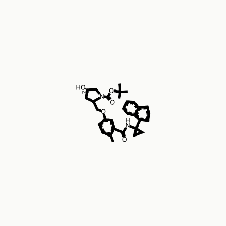 Cc1ccc(OCC2C[C@H](O)CN2C(=O)OC(C)(C)C)cc1C(=O)NC1(c2cccc3ccccc23)CC1